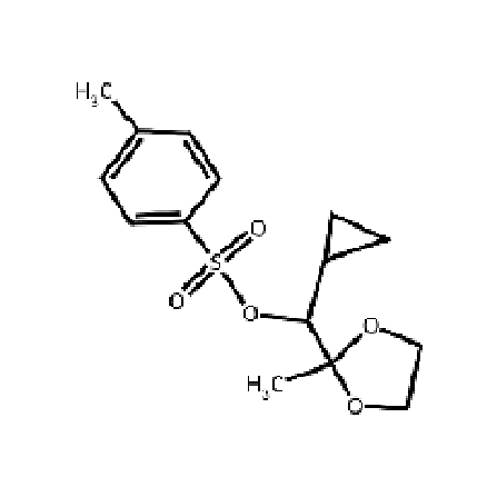 Cc1ccc(S(=O)(=O)OC(C2CC2)C2(C)OCCO2)cc1